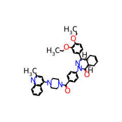 CCOc1ccc(C2=NN(c3ccc(C(=O)N4CCN(c5cc(C)nc6ccccc56)CC4)cc3)C(=O)[C@@H]3CC=CC[C@H]23)cc1OCC